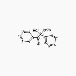 CC(=O)NC(O)(C(=O)c1ccccc1)c1ccccc1